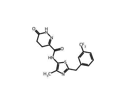 Cc1nc(Cc2cccc(C(F)(F)F)c2)sc1NC(=O)C1=NNC(=O)CC1